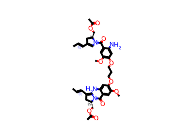 C/C=C/C1=CN(C(=O)c2cc(OC)c(OCCCOc3cc(N)c(C(=O)N4C=C(/C=C/C)C[C@H]4COC(C)=O)cc3OC)cc2N)[C@H](COC(C)=O)C1